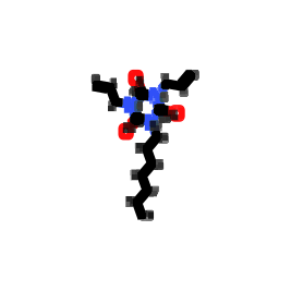 C=CCn1c(=O)n(CC=C)c(=O)n(CCCCCCC)c1=O